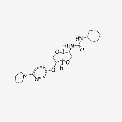 O=C(NC1CCCCC1)N[C@H]1CO[C@H]2[C@@H]1OC[C@@H]2Oc1ccc(N2CCCC2)nc1